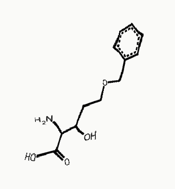 NC(C(=O)O)C(O)CCOCc1ccccc1